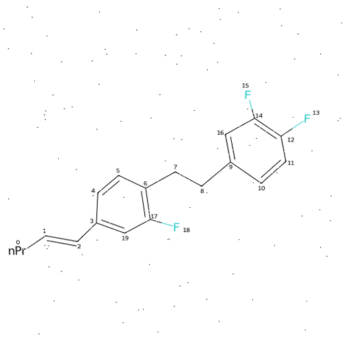 CCCC=Cc1ccc(CCc2ccc(F)c(F)c2)c(F)c1